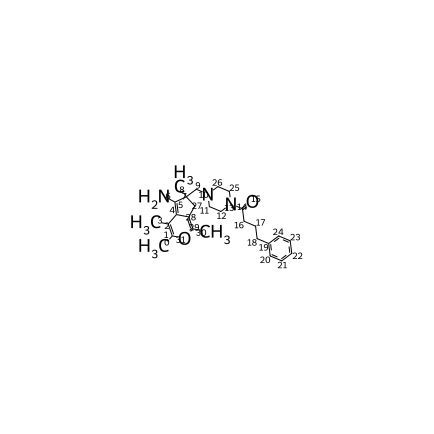 CC1=C(C)C2=C(N)C(C)(CN3CCN(C(=O)CCCc4ccccc4)CC3)CC2=C(C)O1